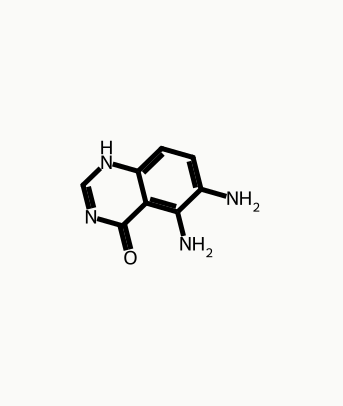 Nc1ccc2[nH]cnc(=O)c2c1N